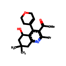 COC(=O)c1c(C(C)C)nc2c(c1C1=CCOCC1)C(O)CC(C)(C)C2